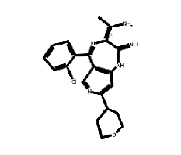 C/C(N)=C1\N=C(c2ccccc2Cl)c2cnc(C3CCOCC3)cc2NC1=N